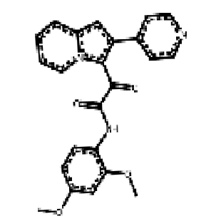 COc1ccc(NC(=O)C(=O)c2c(-c3ccncc3)cc3ccccn23)c(OC)c1